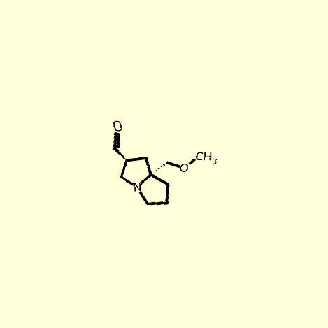 COC[C@]12CCCN1C[C@@H](C=O)C2